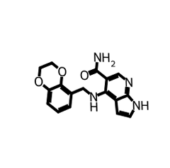 NC(=O)c1cnc2[nH]ccc2c1NCc1cccc2c1OCCO2